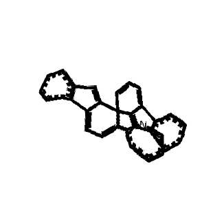 C1=CC2(C3=Cc4ccccc4C3=C1)C1=Cc3ccccc3C1=CC=C2c1ccccn1